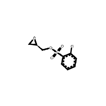 O=S(=O)(OC[C@H]1CO1)c1ccccc1Cl